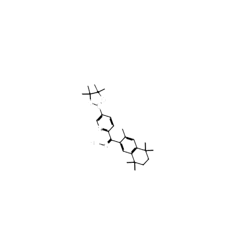 Cc1cc2c(cc1/C(=N/O)c1ccc(B3OC(C)(C)C(C)(C)O3)cn1)C(C)(C)CCC2(C)C